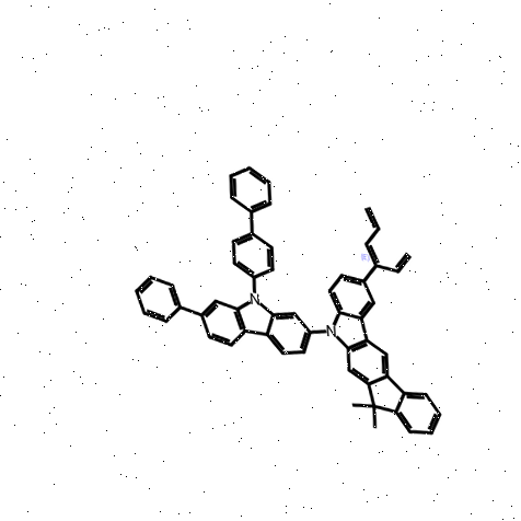 C=C/C=C(\C=C)c1ccc2c(c1)c1cc3c(cc1n2-c1ccc2c4ccc(-c5ccccc5)cc4n(-c4ccc(-c5ccccc5)cc4)c2c1)C(C)(C)c1ccccc1-3